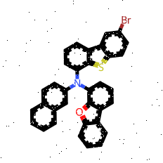 Brc1ccc2sc3c(N(c4ccc5ccccc5c4)c4cccc5c4oc4ccccc45)cccc3c2c1